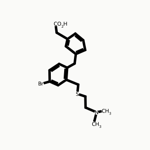 CN(C)CCSCc1cc(Br)ccc1Cc1cccc(CC(=O)O)c1